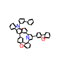 c1ccc(-c2cccc(-n3c4ccccc4c4cc(-c5ccc6oc7cccc(-c8cc(-c9ccc%10c(c9)oc9ccccc9%10)cc(-c9ccccc9)n8)c7c6c5)ccc43)c2)cc1